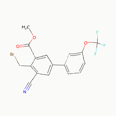 COC(=O)c1cc(-c2cccc(OC(F)(F)F)c2)cc(C#N)c1CBr